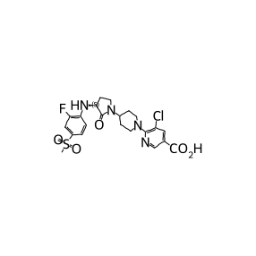 CS(=O)(=O)c1ccc(N[C@H]2CCN(C3CCN(c4ncc(C(=O)O)cc4Cl)CC3)C2=O)c(F)c1